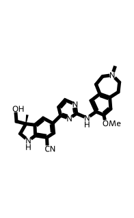 COc1cc2c(cc1Nc1nccc(-c3cc(C#N)c4c(c3)[C@@](C)(CO)CN4)n1)CCN(C)CC2